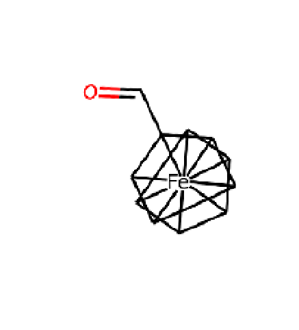 O=C[C]12[CH]3[CH]4[CH]5[CH]1[Fe]45321678[CH]2[CH]1[CH]6[CH]7[CH]28